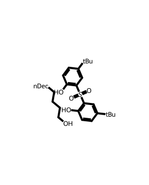 CC(C)(C)c1ccc(O)c(S(=O)(=O)c2cc(C(C)(C)C)ccc2O)c1.CCCCCCCCCCCCCCO